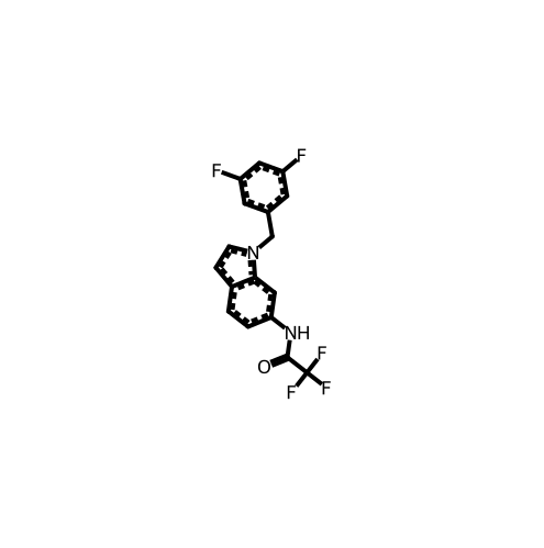 O=C(Nc1ccc2ccn(Cc3cc(F)cc(F)c3)c2c1)C(F)(F)F